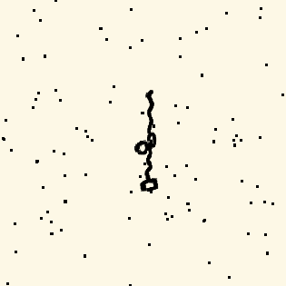 CCCCCCOC(=O)CCCCC1=CCCC=C1